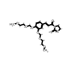 COCCOCOc1ccc(C=CC(=O)N2CCSC2=S)cc1OCOCCOC